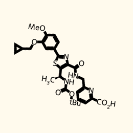 COc1ccc(-c2nc(C(=O)NCc3cccc(C(=O)O)n3)c([C@H](C)NC(=O)OC(C)(C)C)s2)cc1OCC1CC1